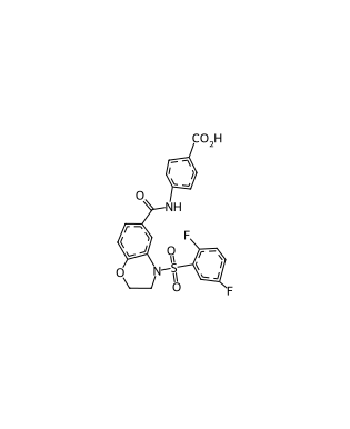 O=C(O)c1ccc(NC(=O)c2ccc3c(c2)N(S(=O)(=O)c2cc(F)ccc2F)CCO3)cc1